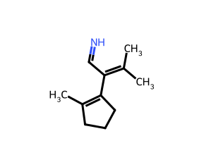 CC(C)=C(C=N)C1=C(C)CCC1